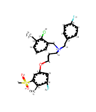 CS(=O)(=O)c1cc(OCCCN(Cc2ccc(F)cc2)Cc2cccc(C(F)(F)F)c2Cl)cc(F)c1C=O